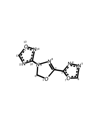 [CH]1OC(c2nnco2)=NN1c1ncon1